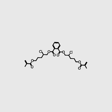 C=C(C)C(=O)OCCCC(Cl)COC(=O)c1ccccc1C(=O)OCC(Cl)CCCOC(=O)C(=C)C